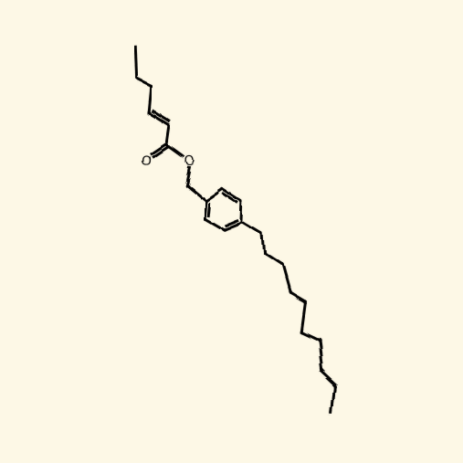 CCCC=CC(=O)OCc1ccc(CCCCCCCCCC)cc1